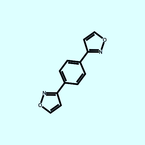 c1cc(-c2ccc(-c3ccon3)cc2)no1